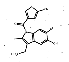 Cc1c(CC(=O)O)c2cc(O)c(F)cc2n1C(=O)c1csc(C#N)c1